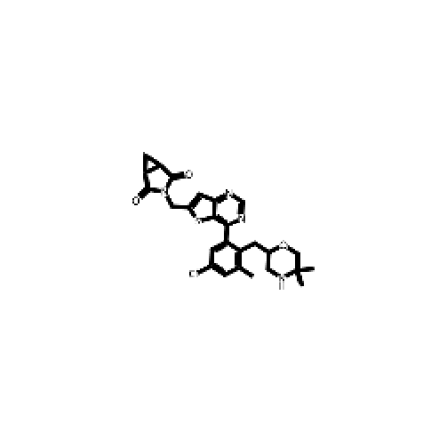 Cc1cc(Cl)cc(-c2ncnc3cc(CN4C(=O)C5CC5C4=O)sc23)c1CC1CNC(C)(C)CO1